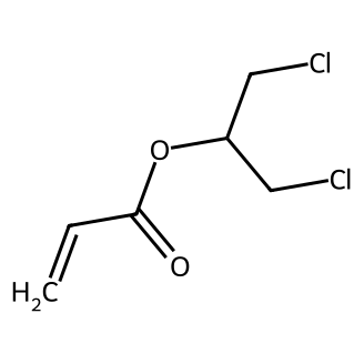 C=CC(=O)OC(CCl)CCl